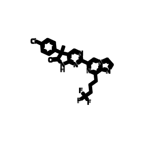 CC1(c2ccc(Cl)cc2)C(=O)Nc2nc(-c3cn4ccnc4c(CCCC(F)(F)F)n3)ncc21